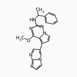 COc1nc(NC(C)c2ccccc2)nn2ccc(-c3cnc4nccn4c3)c12